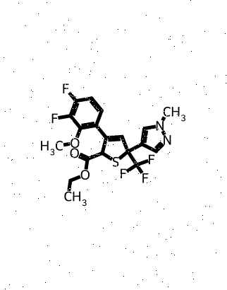 CCOC(=O)C1SC(c2cnn(C)c2)(C(F)(F)F)C=C1c1ccc(F)c(F)c1OC